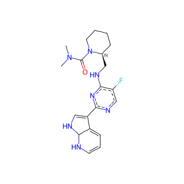 CN(C)C(=O)N1CCCC[C@H]1CNc1nc(C2=CNC3NC=CC=C23)ncc1F